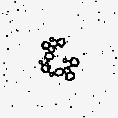 O=C(/C=C\C(=O)ON1CCC2(CC1)CN(c1ccccc1Cl)c1ccccc12)ON1CCC2(CC1)CN(c1ccccc1Cl)c1ccccc12